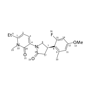 CCc1ccc(N2C[C@@H](c3c(C)cc(OC)cc3F)CC2=O)c(=O)n1C